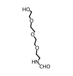 O=CNCCOCCOCCOCCO